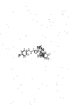 Fc1ccc(CCCOc2nsnc2OC2C3CCC2NC3)cc1